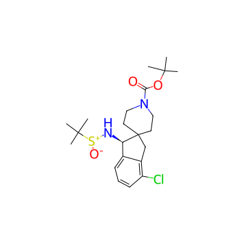 CC(C)(C)OC(=O)N1CCC2(CC1)Cc1c(Cl)cccc1[C@H]2N[S@+]([O-])C(C)(C)C